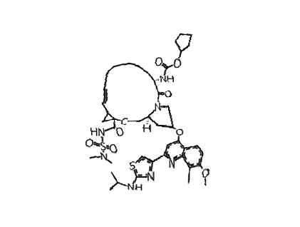 COc1ccc2c(O[C@@H]3C[C@H]4CC[C@]5(C(=O)NS(=O)(=O)N(C)C)CC5/C=C\CCCCC[C@H](NC(=O)OC5CCCC5)C(=O)N4C3)cc(-c3csc(NC(C)C)n3)nc2c1C